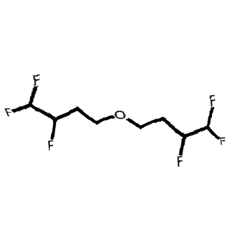 FC(F)C(F)CCOCCC(F)C(F)F